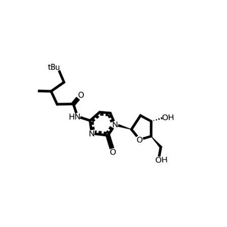 CC(CC(=O)Nc1ccn([C@H]2C[C@H](O)[C@@H](CO)O2)c(=O)n1)CC(C)(C)C